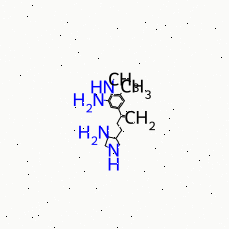 C=C(CCC1CNCC1N)c1cc(C)c(NC)c(N)c1